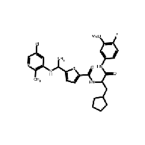 COc1cc(NC(=O)C(CC2CCCC2)NC(=O)c2ccc(C(C)Nc3cc(Cl)cnc3C)s2)ccc1F